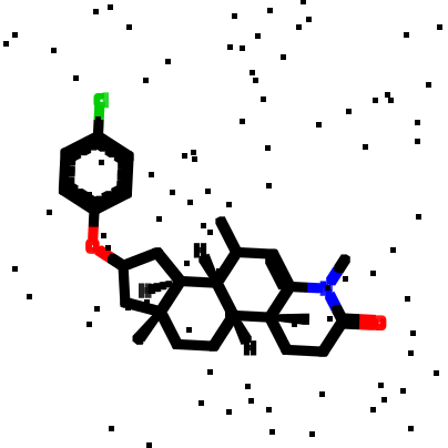 CC1C=C2N(C)C(=O)CC[C@]2(C)[C@@H]2CC[C@]3(C)CC(Oc4ccc(Cl)cc4)C[C@H]3[C@H]12